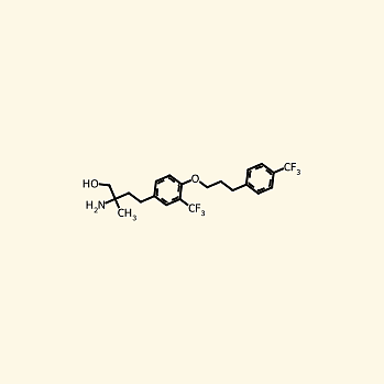 CC(N)(CO)CCc1ccc(OCCCc2ccc(C(F)(F)F)cc2)c(C(F)(F)F)c1